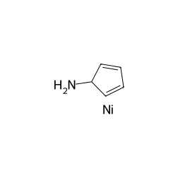 NC1C=CC=C1.[Ni]